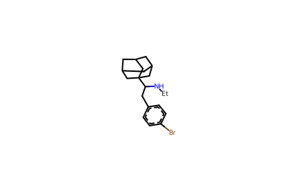 CCNC(Cc1ccc(Br)cc1)C12CC3CC(CC(C3)C1)C2